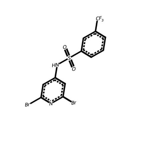 O=S(=O)(Nc1cc(Br)nc(Br)c1)c1cccc(C(F)(F)F)c1